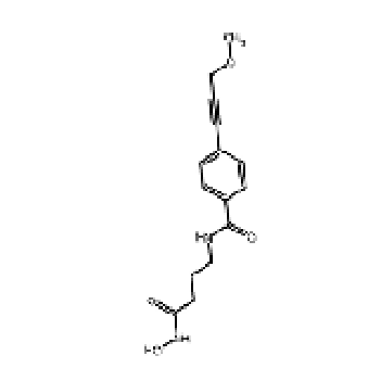 COCC#Cc1ccc(C(=O)NCCCC(=O)NO)cc1